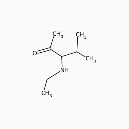 CCNC(C(C)=O)C(C)C